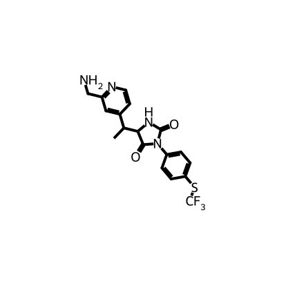 CC(c1ccnc(CN)c1)C1NC(=O)N(c2ccc(SC(F)(F)F)cc2)C1=O